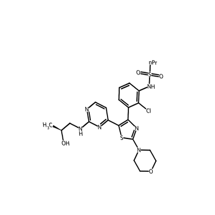 CCCS(=O)(=O)Nc1cccc(-c2nc(N3CCOCC3)sc2-c2ccnc(NC[C@H](C)O)n2)c1Cl